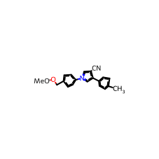 COOCc1ccc(-n2cc(C#N)c(-c3ccc(C)cc3)c2)cc1